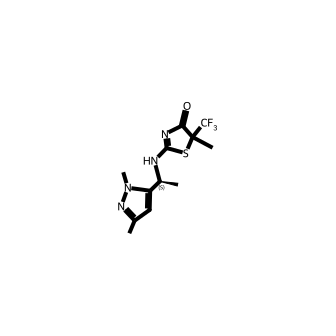 Cc1cc([C@H](C)NC2=NC(=O)C(C)(C(F)(F)F)S2)n(C)n1